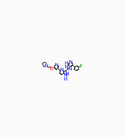 Fc1cccc(-c2cncc3[nH]c(-c4n[nH]c5ccc(-c6cncc(OCCN7CCCC7)c6)nc45)nc23)c1